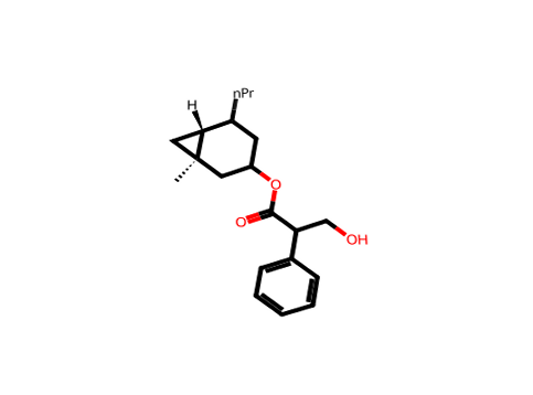 CCCC1CC(OC(=O)C(CO)c2ccccc2)C[C@@]2(C)C[C@H]12